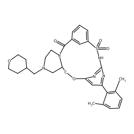 Cc1cccc(C)c1-c1cc2nc(n1)NS(=O)(=O)c1cccc(c1)C(=O)N1CCN(CC3CCOCC3)CC1CO2